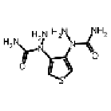 NC(=O)N(N)c1cscc1N(N)C(N)=O